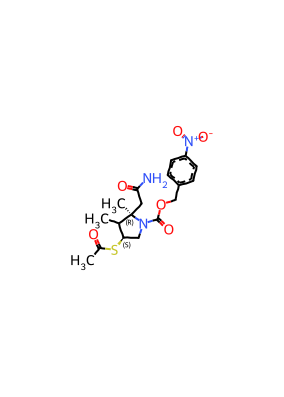 CC(=O)S[C@@H]1CN(C(=O)OCc2ccc([N+](=O)[O-])cc2)[C@](C)(CC(N)=O)C1C